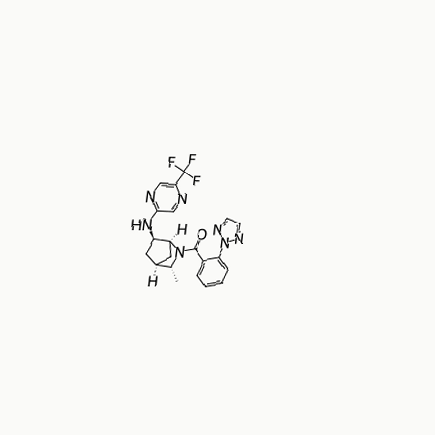 C[C@@H]1[C@H]2C[C@@H](Nc3cnc(C(F)(F)F)cn3)[C@H](C2)N1C(=O)c1ccccc1-n1nccn1